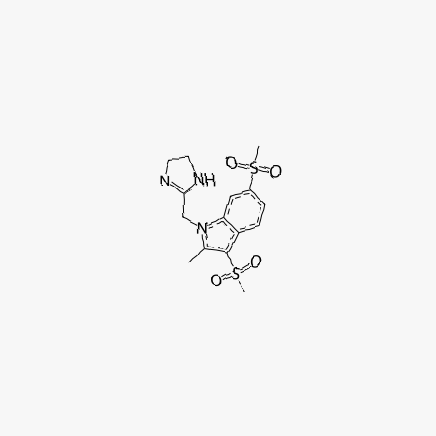 Cc1c(S(C)(=O)=O)c2ccc(S(C)(=O)=O)cc2n1CC1=NCCN1